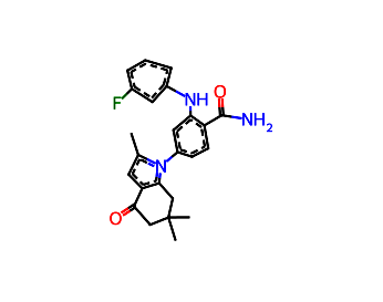 Cc1cc2c(n1-c1ccc(C(N)=O)c(Nc3cccc(F)c3)c1)CC(C)(C)CC2=O